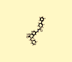 O=C(/C=C/c1cnc2c(c1)CN(CN1CCOCC1)C(=O)N2)N1CC=C(c2ccccc2)CC1